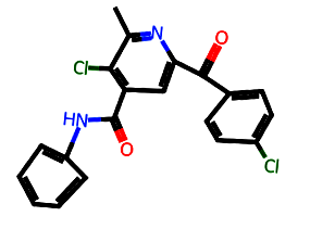 Cc1nc(C(=O)c2ccc(Cl)cc2)cc(C(=O)Nc2ccccc2)c1Cl